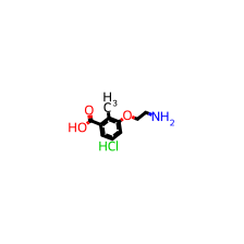 Cc1c(OCCN)cccc1C(=O)O.Cl